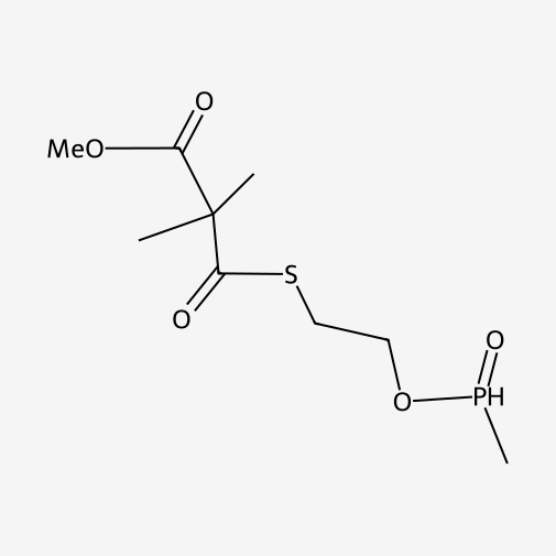 COC(=O)C(C)(C)C(=O)SCCO[PH](C)=O